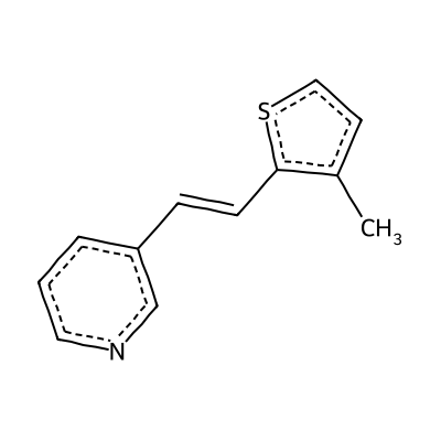 Cc1ccsc1/C=C/c1cccnc1